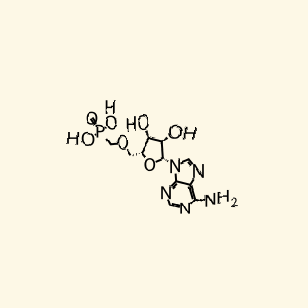 Nc1ncnc2c1ncn2[C@@H]1O[C@H](COCP(=O)(O)O)[C@@H](O)[C@H]1O